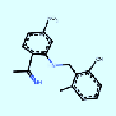 CC(=N)c1ccc([N+](=O)[O-])cc1NCc1c(C)cccc1C#N